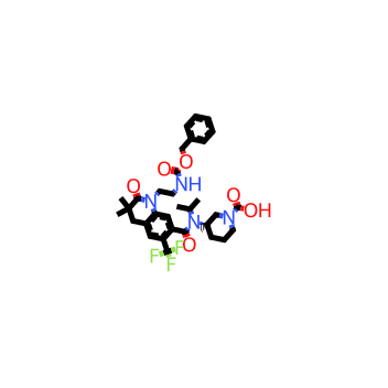 CC(C)N(C(=O)c1cc2c(cc1C(F)(F)F)CC(C)(C)C(=O)N2CCNC(=O)OCc1ccccc1)[C@@H]1CCCN(C(=O)O)C1